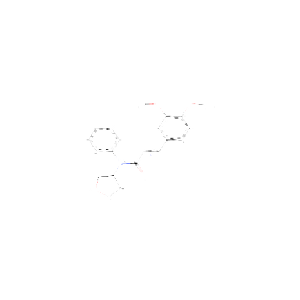 COc1ccc(/C=C/C(=O)N(c2ccccc2)C2CCOC2)cc1OC